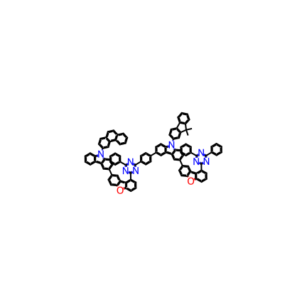 CC1(C)c2ccccc2-c2ccc(-n3c4ccc(-c5ccc(-c6nc(-c7ccccc7)nc(-c7cccc8oc9ccc(-c%10ccc%11c(c%10)c%10ccccc%10n%11-c%10ccc%11ccc%12ccccc%12c%11c%10)cc9c78)n6)cc5)cc4c4cc(-c5ccc6oc7cccc(-c8nc(-c9ccccc9)nc(-c9ccccc9)n8)c7c6c5)ccc43)cc21